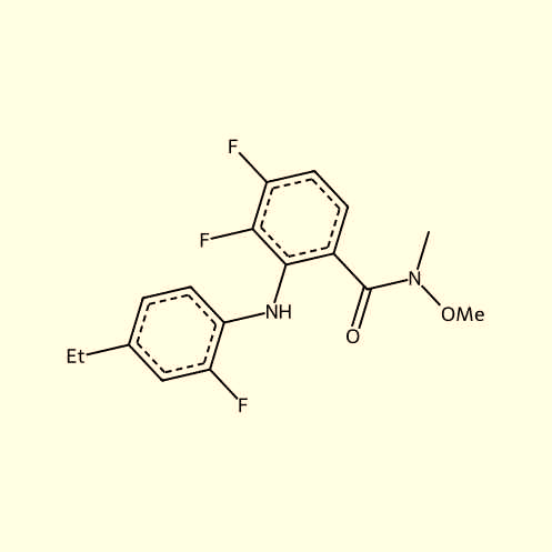 CCc1ccc(Nc2c(C(=O)N(C)OC)ccc(F)c2F)c(F)c1